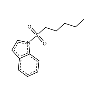 CCCCCS(=O)(=O)n1ccc2ccccc21